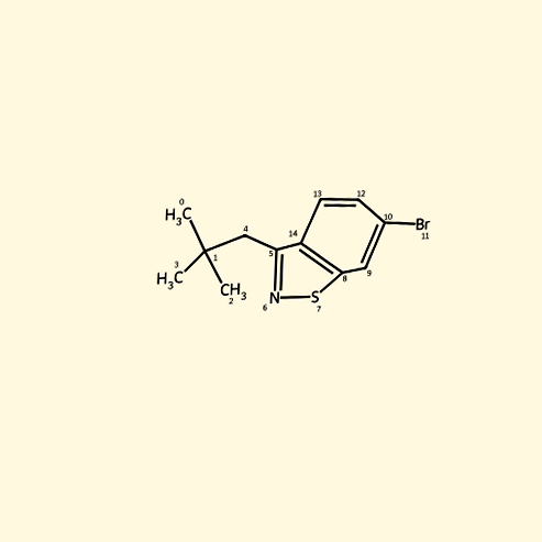 CC(C)(C)Cc1nsc2cc(Br)ccc12